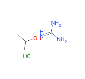 CC(C)O.Cl.N=C(N)N